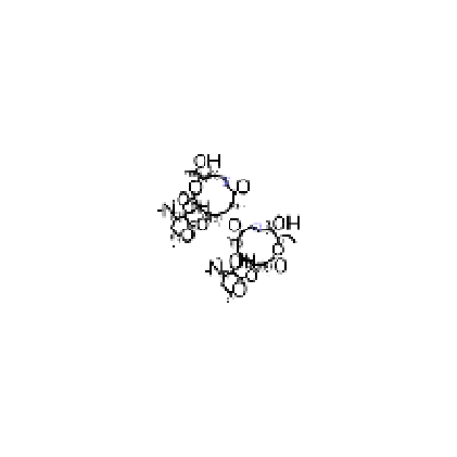 CC[C@H]1OC(=O)[C@H](C)[C@@H](O[C@@H]2O[C@H](C)C[C@H](N(C)C)[C@H]2O)[C@@H](C)C[C@@H](C)C(=O)/C=C/[C@]1(C)O.C[C@@H]1C[C@H](N(C)C)[C@@H](O)[C@H](O[C@H]2[C@@H](C)C[C@@H](C)C(=O)/C=C/[C@@H](C)[C@@H]([C@@H](C)O)OC(=O)[C@@H]2C)O1